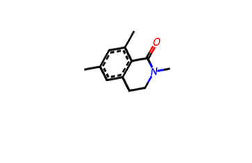 Cc1cc(C)c2c(c1)CCN(C)C2=O